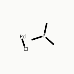 CP(C)C.[Cl][Pd]